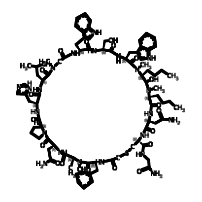 CCCC[C@H]1C(O)N(C)[C@@H](CCCC)C(=O)N[C@@H](CC(N)=O)C(=O)N[C@H](C(=O)NCC(N)=O)CSCC(=O)N[C@@H](Cc2ccccc2)C(=O)N(C)[C@@H](C)C(=O)N[C@@H](CC(N)=O)C(=O)N2CCC[C@H]2C(=O)N[C@@H](Cc2cnc[nH]2)C(=O)N[C@@H](CC(C)C)C(=O)N(C)CC(=O)N[C@@H](Cc2c[nH]c3ccccc23)C(=O)N[C@@H](CO)C(=O)N[C@@H](Cc2c[nH]c3ccccc23)C(=O)N1C